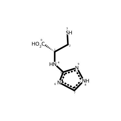 O=C(O)[C@H](CS)Nc1nc[nH]n1